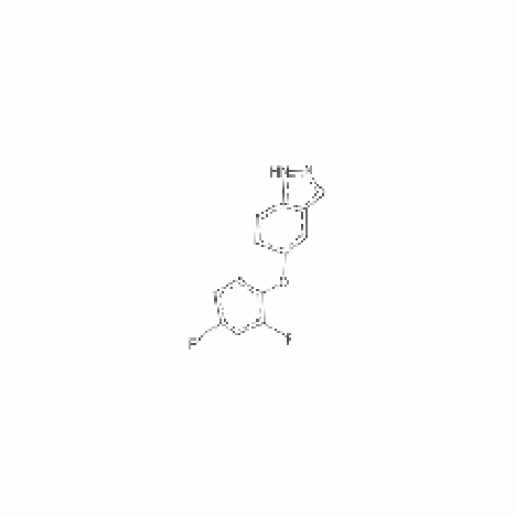 Fc1ccc(Oc2ccc3[nH]ncc3c2)c(F)c1